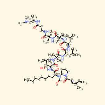 CCCCCCCC[C@@H](C(=O)N[C@H](C(=O)NC(C)(C)C(=O)N[C@@H](CC(C)C)C(=O)N[C@@H](CC(C)C)C(=O)NC(C)(C)C(=O)NC(C)(C)C(=O)NCCC(=O)N[C@@H](C)CN(C)C)[C@H](O)C(C)C)N(C=O)[C@@H]1CCCN1C(=O)/C=C/[C@@H](C)CC